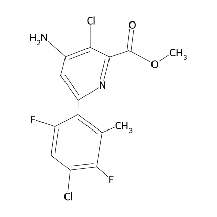 COC(=O)c1nc(-c2c(F)cc(Cl)c(F)c2C)cc(N)c1Cl